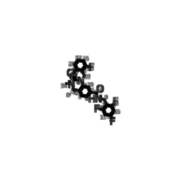 C[C@H]1c2ccc(C(=O)NCc3c(F)cc(F)cc3F)cc2N(Cc2c(F)cccc2Cl)C(=O)N1C